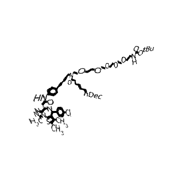 CCCCCCCCCCCCCCCC(=O)N(CC#CC#Cc1ccc(NC(=O)C[C@@H]2N=C(c3ccc(Cl)cc3)c3c(sc(C)c3C)-n3c(C)nnc32)cc1)CCOCCOCCOCCOCCOCCNC(=O)OC(C)(C)C